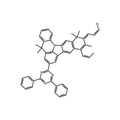 C/C=C\C1=C(C)C(=C\C=C/CC)/C(C)(C)c2cc3c(cc21)c1cc(-c2nc(-c4ccccc4)nc(-c4ccccc4)n2)cc2c1n3-c1ccccc1C2(C)C